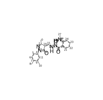 CC1=NN(c2ccc(C)c(C)c2)C(=O)/C1=C\NNC(=O)c1ccccc1[N+](C)=O